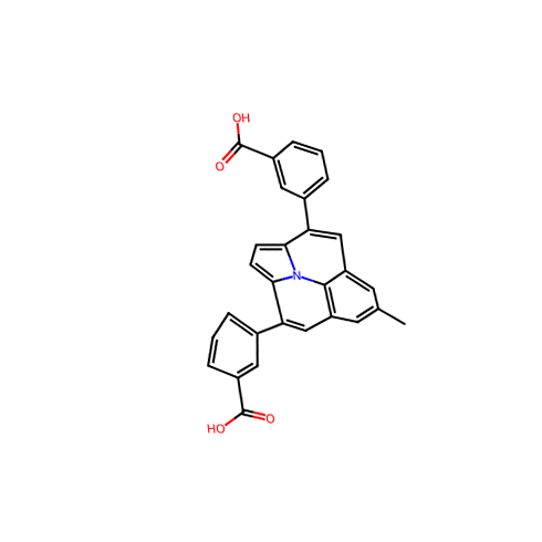 Cc1cc2cc(-c3cccc(C(=O)O)c3)c3ccc4c(-c5cccc(C(=O)O)c5)cc(c1)c2n34